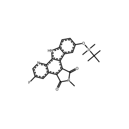 CN1C(=O)c2c(c3c4cc(O[Si](C)(C)C(C)(C)C)ccc4[nH]c3c3ncc(F)cc23)C1=O